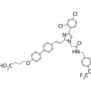 O=C(O)CCCOc1ccc(-c2ccc(/C=C/c3nc(-c4ccc(Cl)cc4Cl)cn3CC(=O)NCc3ccc(OC(F)(F)F)cc3)cc2)cc1